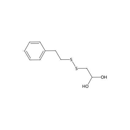 OC(O)CSSCCc1cc[c]cc1